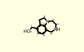 OCc1ccc2c3c1CCN3CCNC2